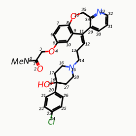 CNC(=O)COc1ccc2c(c1)C(=CCCN1CCC(O)(c3ccc(Cl)cc3)CC1)c1cccnc1CO2